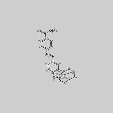 COC(=O)c1ccc(/N=C/c2ccc(OC)c(C34CC5CC(CC(C5)C3)C4)c2)cc1